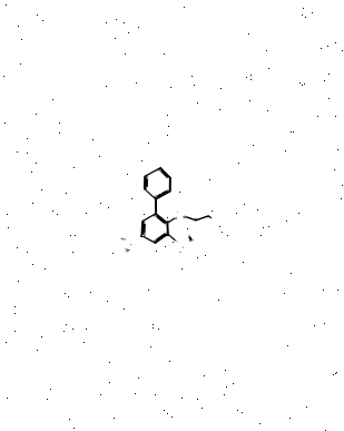 O=[N+]([O-])c1cc(-c2ccccc2)c(NCCO)c([N+](=O)[O-])c1